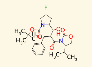 CC(C)[C@H]1COC(=O)N1C(=O)[C@@H](Cc1ccccc1)[C@H](O)C1CC(F)CN1C(=O)OC(C)(C)C